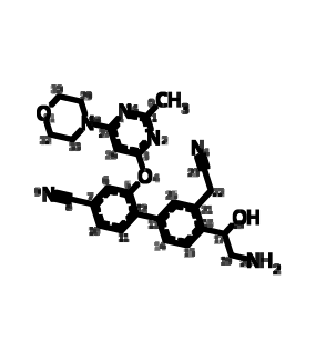 Cc1nc(Oc2cc(C#N)ccc2-c2ccc(C(O)CN)c(CC#N)c2)cc(N2CCOCC2)n1